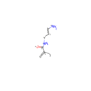 C=C(C)C(=O)NCC=CN